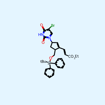 CCOC(=O)C=CC1=CC(n2cc(Br)c(=O)[nH]c2=O)CC1CO[Si](c1ccccc1)(c1ccccc1)C(C)(C)C